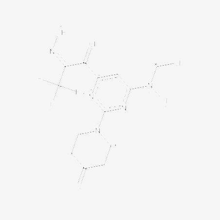 C=C(/C(=N\C)C(F)(F)F)c1cc(N(C)CC)nc(N2CCC(=O)CC2)n1